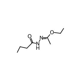 CCCC(=O)N/N=C(\C)OCC